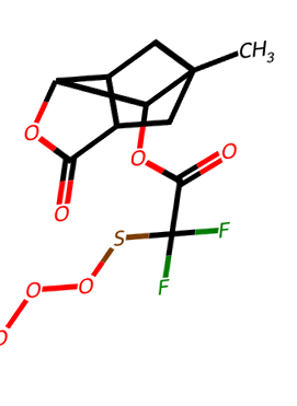 CC12CC3C(=O)OC(C3C1)C2OC(=O)C(F)(F)SOOO